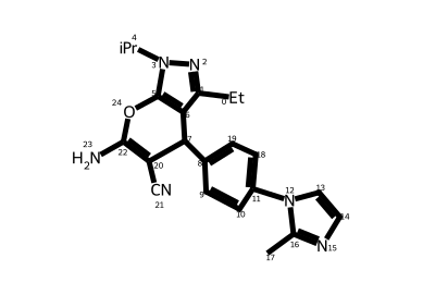 CCc1nn(C(C)C)c2c1C(c1ccc(-n3ccnc3C)cc1)C(C#N)=C(N)O2